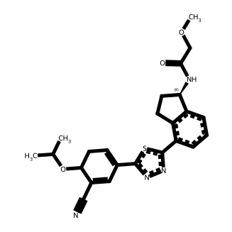 COCC(=O)N[C@@H]1CCc2c(-c3nnc(C4=CCC(OC(C)C)C(C#N)=C4)s3)cccc21